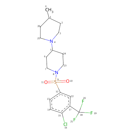 CC1CCN(C2CCN(S(=O)(=O)c3ccc(Cl)c(C(F)(F)F)c3)CC2)CC1